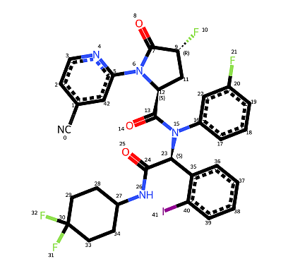 N#Cc1ccnc(N2C(=O)[C@H](F)C[C@H]2C(=O)N(c2cccc(F)c2)[C@H](C(=O)NC2CCC(F)(F)CC2)c2ccccc2I)c1